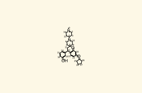 CN1CCC(N2CCC3(CC2)CC(c2cccc(O)c2)c2ccc(OC4CCCC4)cc2O3)CC1